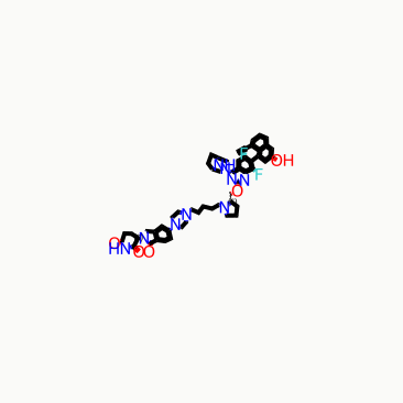 C#Cc1cccc2cc(O)cc(-c3c(F)cc4c(N5CC6CCC(C5)N6)nc(OC[C@@H]5CCCN5CCCCCN5CCN(c6ccc7c(c6)CN([C@H]6CCC(=O)NC6=O)C7=O)CC5)nc4c3F)c12